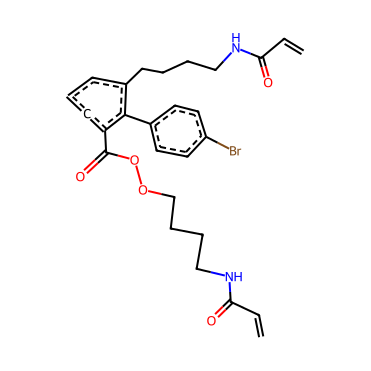 C=CC(=O)NCCCCOOC(=O)c1cccc(CCCCNC(=O)C=C)c1-c1ccc(Br)cc1